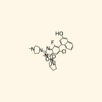 CN1CCN(c2nc(N3CC4CCC(C3)N4C(=O)OC(C)(C)C)c3cc(Cl)c(-c4cc(O)cc5ccccc45)c(F)c3n2)CC1